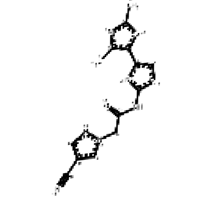 Cc1nc(C)c(-c2csc(NC(=O)Cn3cc(C#N)cn3)n2)s1